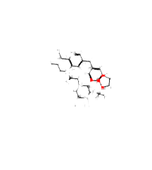 CCCN(C(=O)CN1C[C@@H](C)NC[C@@H]1CN1CCC[C@@H]1C(F)(F)F)c1cc(Cc2ccc(F)cc2)cnc1CC